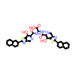 O=C(NC(NC(=O)c1ncc2nc(-c3ccc4ccccc4c3)sc2c1O)C(=O)O)c1ncc2nc(-c3ccc4ccccc4c3)sc2c1O